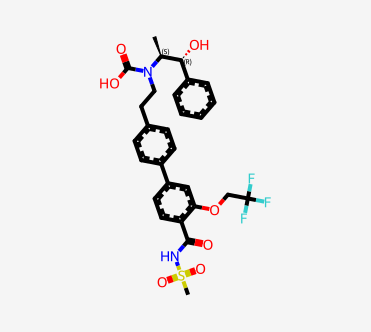 C[C@@H]([C@H](O)c1ccccc1)N(CCc1ccc(-c2ccc(C(=O)NS(C)(=O)=O)c(OCC(F)(F)F)c2)cc1)C(=O)O